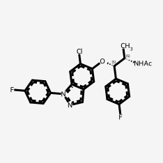 CC(=O)N[C@@H](C)[C@@H](Oc1cc2cnn(-c3ccc(F)cc3)c2cc1Cl)c1ccc(F)cc1